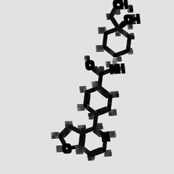 CC[C@]1(O)CC[C@H](NC(=O)c2ccc(-c3nccc4occc34)cc2)CC1